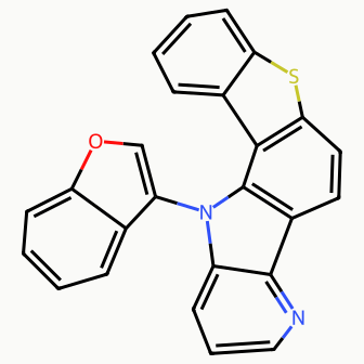 c1ccc2c(-n3c4cccnc4c4ccc5sc6ccccc6c5c43)coc2c1